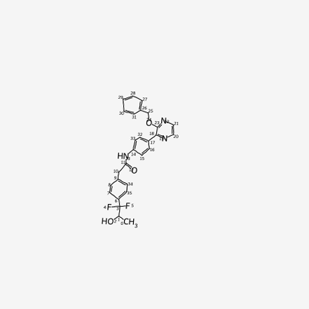 CC(O)C(F)(F)c1ccc(CC(=O)Nc2ccc(-c3nccnc3OCc3ccccc3)cc2)cc1